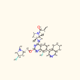 C=CC(=O)N1CC[C@@H]2[C@H]1CN2c1nc(OC[C@@H]2C[C@@H](F)CN2C)nc2c(F)c(-c3cncc4c3CCCC4)ccc12